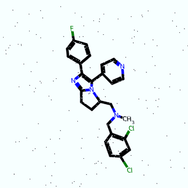 CN(Cc1ccc(Cl)cc1Cl)CC1CCc2nc(-c3ccc(F)cc3)c(-c3ccncc3)n21